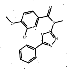 COc1ccc(C(=O)N(C)c2nnc(-c3ccccc3)o2)cc1Br